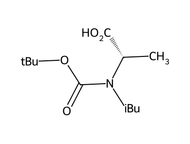 CCC(C)N(C(=O)OC(C)(C)C)[C@@H](C)C(=O)O